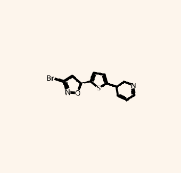 BrC1=NO[C@H](c2ccc(C3C=CC=NC3)s2)C1